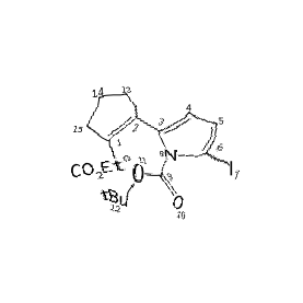 CCOC(=O)C1=C(c2ccc(I)n2C(=O)OC(C)(C)C)CCC1